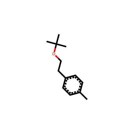 Cc1ccc(CCOC(C)(C)C)cc1